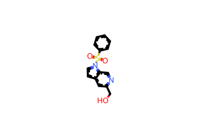 O=S(=O)(c1ccccc1)n1ccc2cc(CO)ncc21